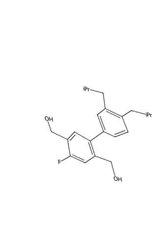 CC(C)Cc1ccc(-c2cc(CO)c(F)cc2CO)cc1CC(C)C